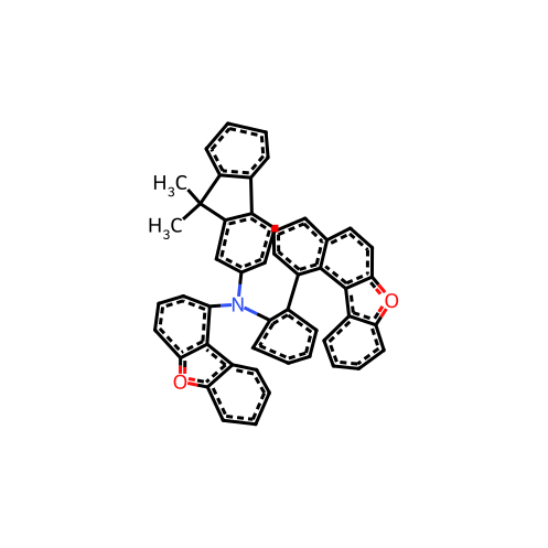 CC1(C)c2ccccc2-c2ccc(N(c3ccccc3-c3cccc4ccc5oc6ccccc6c5c34)c3cccc4oc5ccccc5c34)cc21